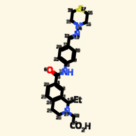 CCC1c2cc(C(=O)Nc3ccc(C=NN4CCSCC4)cc3)ccc2CCN1CC(=O)O